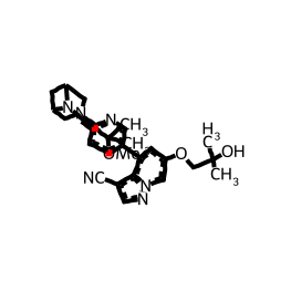 COC(C)(C)C#CN1C2CC1CN(c1ccc(-c3cc(OCC(C)(C)O)cn4ncc(C#N)c34)cn1)C2